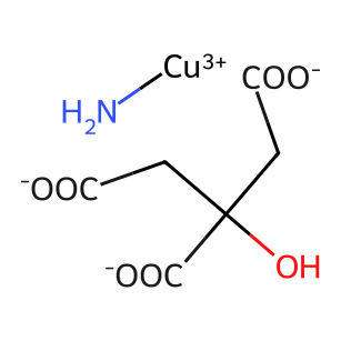 O=C([O-])CC(O)(CC(=O)[O-])C(=O)[O-].[NH2][Cu+3]